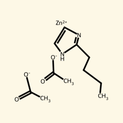 CC(=O)[O-].CC(=O)[O-].CCCCc1ncc[nH]1.[Zn+2]